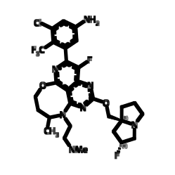 CNCCN1c2nc(OC[C@@]34CCCN3C[C@H](F)C4)nc3c(F)c(-c4cc(N)cc(Cl)c4C(F)(F)F)nc(c23)OCCC1C